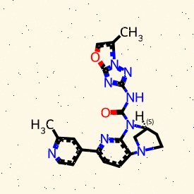 Cc1cc(-c2ccc3c(n2)N(C(=O)Nc2nc4occ(C)n4n2)[C@H]2CCN3C2)ccn1